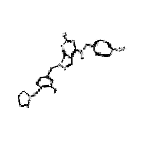 COc1ccc(CNc2nc(Cl)nc3c2cnn3Cc2ccc(CN3CCCC3)c(F)c2)cc1